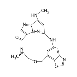 CNc1cc2nn3c(cnc13)C(=O)N[C@H](C)COCc1cc(cc3ncoc13)N2